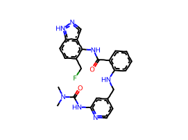 CN(C)C(=O)Nc1cc(CNc2ccccc2C(=O)Nc2c(CF)ccc3[nH]ncc23)ccn1